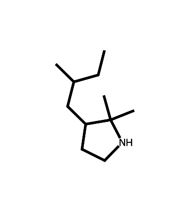 CCC(C)CC1CCNC1(C)C